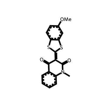 COc1ccc2c(c1)S/C(=C1/C(=O)c3ccccc3N(C)C1=O)S2